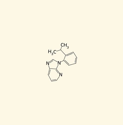 CC(C)c1ccccc1-n1cnc2cccnc21